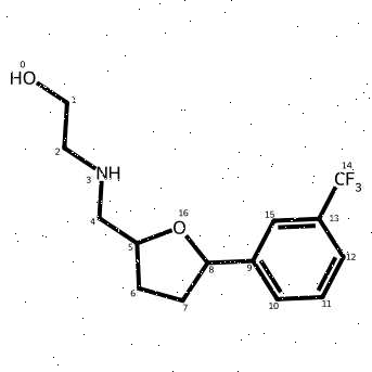 OCCNCC1CCC(c2cccc(C(F)(F)F)c2)O1